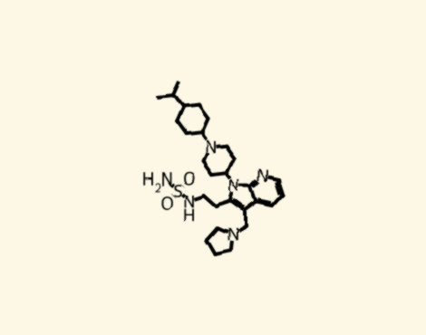 CC(C)C1CCC(N2CCC(n3c(CCNS(N)(=O)=O)c(CN4CCCC4)c4cccnc43)CC2)CC1